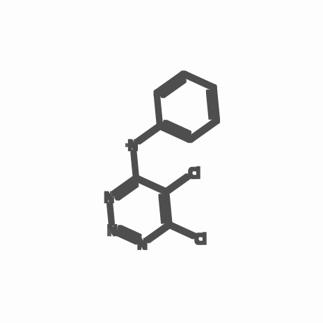 Clc1nnnc([N]c2ccccc2)c1Cl